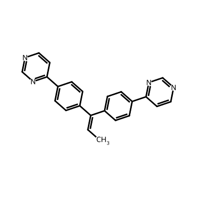 CC=C(c1ccc(-c2ccncn2)cc1)c1ccc(-c2ccncn2)cc1